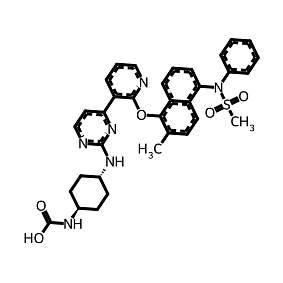 Cc1ccc2c(N(c3ccccc3)S(C)(=O)=O)cccc2c1Oc1ncccc1-c1ccnc(N[C@H]2CC[C@H](NC(=O)O)CC2)n1